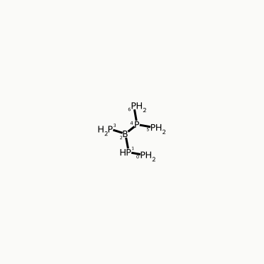 PPB(P)P(P)P